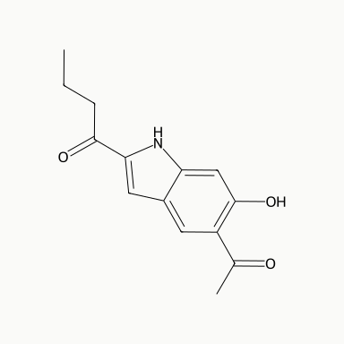 CCCC(=O)c1cc2cc(C(C)=O)c(O)cc2[nH]1